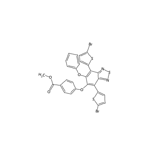 COC(=O)c1ccc(Oc2c(Oc3ccccc3)c(-c3ccc(Br)s3)c3nsnc3c2-c2ccc(Br)s2)cc1